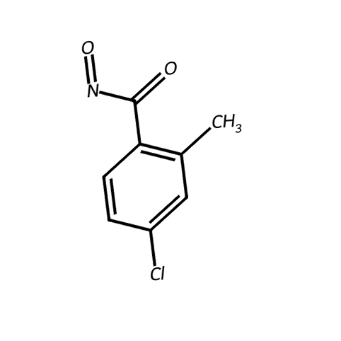 Cc1cc(Cl)ccc1C(=O)N=O